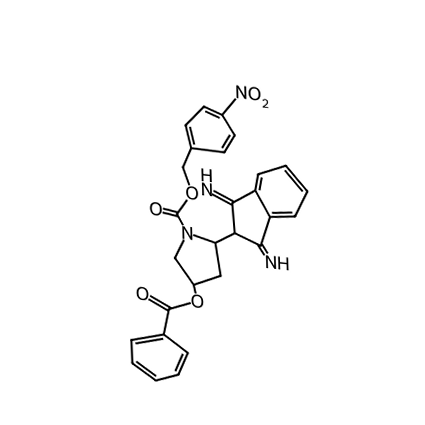 N=C1c2ccccc2C(=N)C1C1CC(OC(=O)c2ccccc2)CN1C(=O)OCc1ccc([N+](=O)[O-])cc1